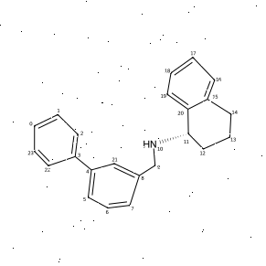 c1ccc(-c2cccc(CN[C@H]3CCCc4ccccc43)c2)cc1